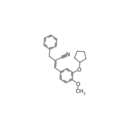 COc1ccc(C=C(C#N)Cc2ccccc2)cc1OC1CCCC1